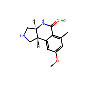 COc1cc(C)c2c(c1)[C@@H]1CNC[C@H]1NC2=O.Cl